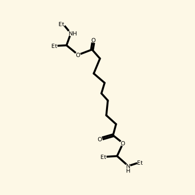 CCNC(CC)OC(=O)CCCCCCCC(=O)OC(CC)NCC